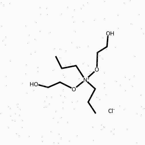 CCC[N+](CCC)(OCCO)OCCO.[Cl-]